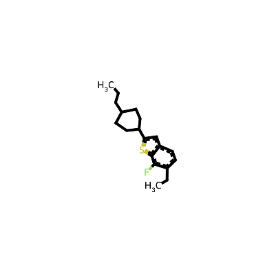 CCCC1CCC(c2cc3ccc(CC)c(F)c3s2)CC1